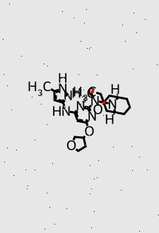 CCC(=O)N1[C@@H]2CCC[C@H]1CC(N(C)c1nc(Nc3cc(C)[nH]n3)cc(OC3CCOC3)n1)C2